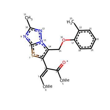 COC=C(C(=O)OC)c1sc2nc(C)nn2c1COc1ccccc1C